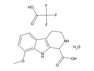 COc1cccc2c3c([nH]c12)C(C(=O)O)NCC3.O.O=C(O)C(F)(F)F